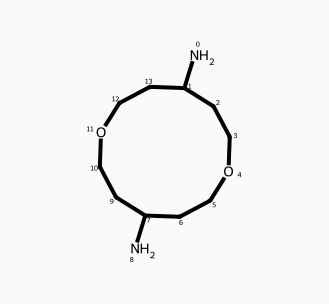 NC1CCOCCC(N)CCOCC1